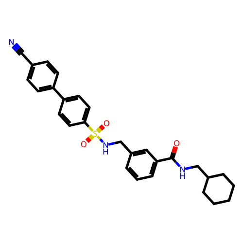 N#Cc1ccc(-c2ccc(S(=O)(=O)NCc3cccc(C(=O)NCC4CCCCC4)c3)cc2)cc1